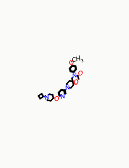 COc1ccc(N2CC3(CCN(c4ccc(OC5CCN(C6CCC6)CC5)nc4)CC3)OCC2=O)cc1